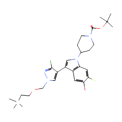 CC(C)(C)OC(=O)N1CCC(n2cc(-c3cn(COCC[Si](C)(C)C)nc3Cl)c3cc(Br)c(F)cc32)CC1